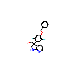 OCC1(c2cc(F)c(OCc3ccccc3)cc2F)CNc2ncccc21